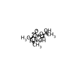 Cc1nc(C)c2sc(=O)n([C@@H]3O[C@H](C(C)O)C[C@H]3O)c2n1